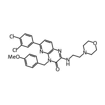 COc1ccc(Cn2c(=O)c(NCCN3CCOCC3)nc3ccc(-c4ccc(Cl)c(Cl)c4)nc32)cc1